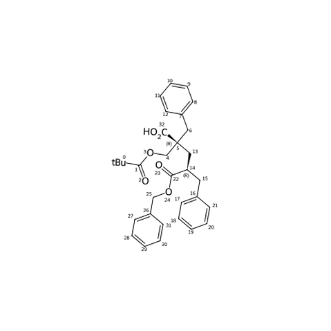 CC(C)(C)C(=O)OC[C@](Cc1ccccc1)(C[C@@H](Cc1ccccc1)C(=O)OCc1ccccc1)C(=O)O